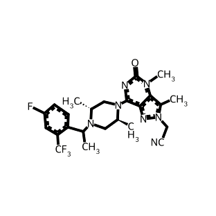 Cc1c2c(nn1CC#N)c(N1C[C@@H](C)N(C(C)c3ccc(F)cc3C(F)(F)F)C[C@@H]1C)nc(=O)n2C